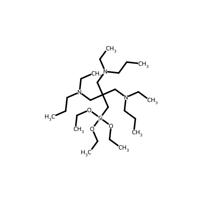 CCCN(CC)CC(CN(CC)CCC)(CN(CC)CCC)C[Si](OCC)(OCC)OCC